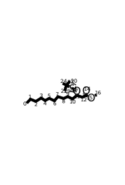 CCCCCCCCCCCC(CC(=O)OC)O[Si](C)(C)C(C)(C)C